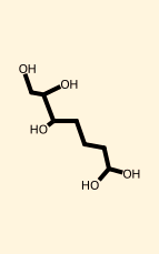 OCC(O)C(O)CCCC(O)O